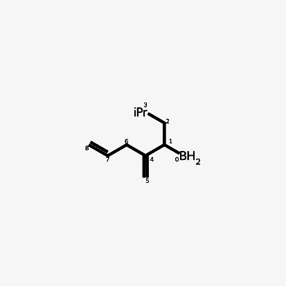 BC(CC(C)C)C(=C)CC=C